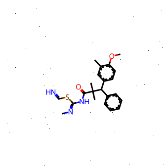 C/N=C(/NC(=O)C(C)(C)C(c1ccccc1)c1ccc(OC)c(C)c1)SC=N